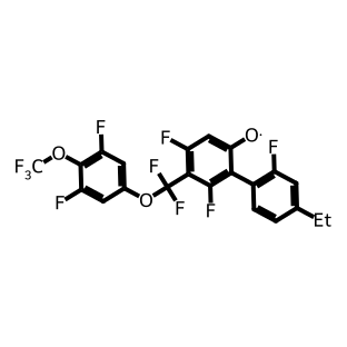 CCc1ccc(-c2c([O])cc(F)c(C(F)(F)Oc3cc(F)c(OC(F)(F)F)c(F)c3)c2F)c(F)c1